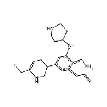 C=C/C=c1/cc(C2CC=C(CF)NC2)cc(NC2CCNCC2)/c1=C/N